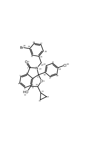 O=C1c2ccccc2C(OC(CO)C2CC2)(c2ccc(Cl)cc2)N1Cc1cccc(Br)c1